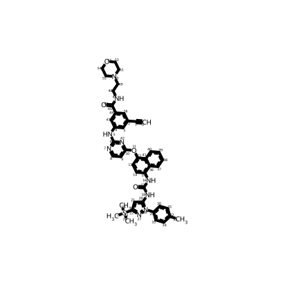 C#Cc1cc(Nc2nccc(Oc3ccc(NC(=O)Nc4cc(S(C)(C)C)nn4-c4ccc(C)cc4)c4ccccc34)n2)cc(C(=O)NCCN2CCOCC2)c1